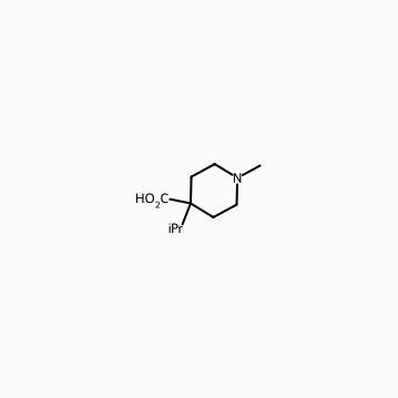 CC(C)C1(C(=O)O)CCN(C)CC1